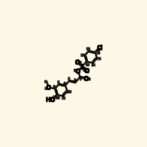 COc1cc(C=CC(=O)OS(=O)(=O)c2ccc(Cl)cc2)ccc1O